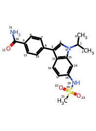 CC(C)n1cc(-c2ccc(C(N)=O)cc2)c2ccc(NS(C)(=O)=O)cc21